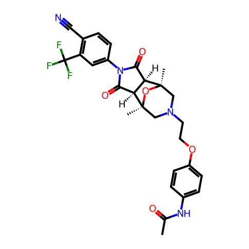 CC(=O)Nc1ccc(OCCN2C[C@@]3(C)O[C@@](C)(C2)[C@H]2C(=O)N(c4ccc(C#N)c(C(F)(F)F)c4)C(=O)[C@H]23)cc1